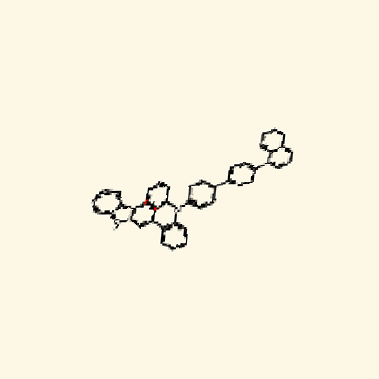 c1ccc(N(c2ccc(-c3ccc(-c4cccc5ccccc45)cc3)cc2)c2ccccc2-c2ccc3c(c2)sc2ccccc23)cc1